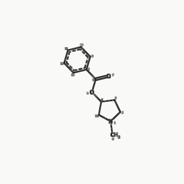 CN1CCC(OC(=O)c2ccccc2)C1